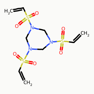 C=CS(=O)(=O)N1CN(S(=O)(=O)C=C)CN(S(=O)(=O)C=C)C1